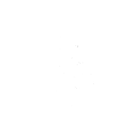 CC(NC(=O)C(CS)NC(=O)C(N)CCC(=O)O)C(=O)O